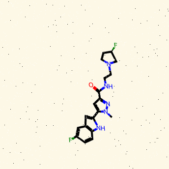 Cn1nc(C(=O)NCCN2CC[C@@H](F)C2)cc1-c1cc2cc(F)ccc2[nH]1